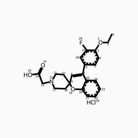 CCOc1ccc(C2=CC3(CCN(CC(=O)O)CC3)Oc3ccccc32)cc1F.Cl